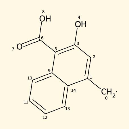 [CH2]c1cc(O)c(C(=O)O)c2ccccc12